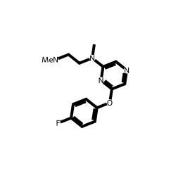 CNCCN(C)c1cncc(Oc2ccc(F)cc2)n1